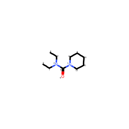 CCN(CC)C(=O)N1CCCCC1